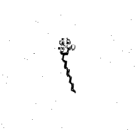 CCCCCCCCCCC(C)=CC(=O)[Si](OC)(OC)OC